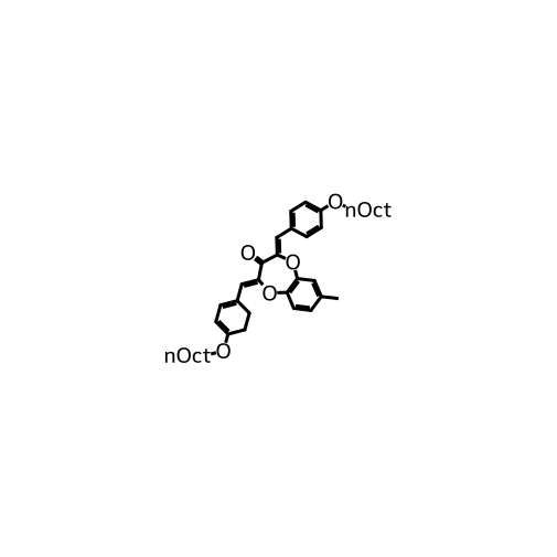 CCCCCCCCOC1=CC=C(/C=C2\Oc3ccc(C)cc3O/C(=C\c3ccc(OCCCCCCCC)cc3)C2=O)CC1